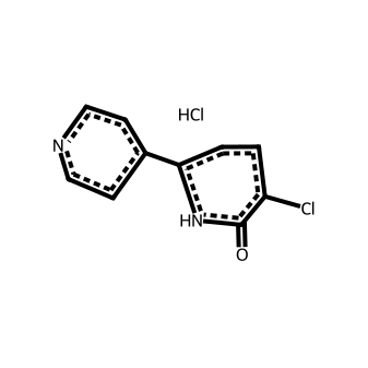 Cl.O=c1[nH]c(-c2ccncc2)ccc1Cl